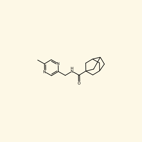 Cc1cnc(CNC(=O)C23CC4CC(C2)C(C4)C3)cn1